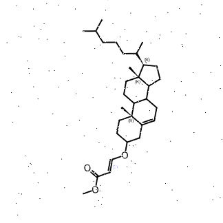 COC(=O)/C=C/OC1CC[C@@]2(C)C(=CCC3C2CC[C@@]2(C)C3CC[C@@H]2C(C)CCCC(C)C)C1